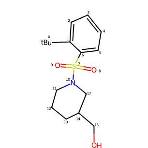 CC(C)(C)c1ccccc1S(=O)(=O)N1CCCC(CO)C1